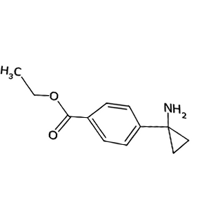 CCOC(=O)c1ccc(C2(N)CC2)cc1